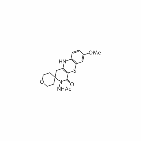 COc1ccc2c(c1)SC1=C(CC3(CCOCC3)N(NC(C)=O)C1=O)N2